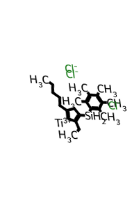 CCCCCC1=[C]([Ti+3])C(CC)=C([SiH2]c2c(C)c(C)c(C)c(C)c2C)C1.[Cl-].[Cl-].[Cl-]